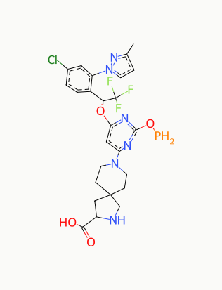 Cc1ccn(-c2cc(Cl)ccc2[C@@H](Oc2cc(N3CCC4(CC3)CNC(C(=O)O)C4)nc(OP)n2)C(F)(F)F)n1